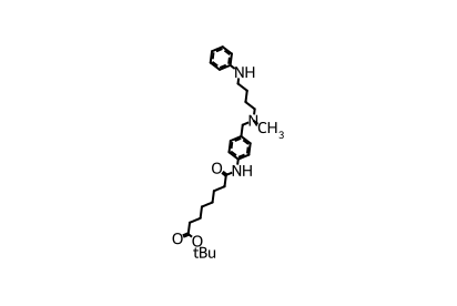 CN(CCCCNc1ccccc1)Cc1ccc(NC(=O)CCCCCCC(=O)OC(C)(C)C)cc1